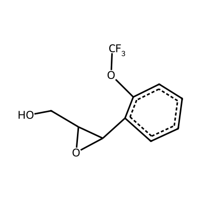 OCC1OC1c1ccccc1OC(F)(F)F